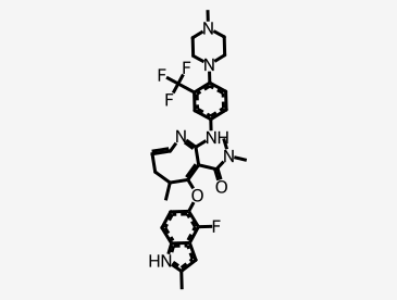 Cc1cc2c(F)c(O/C3=C(C(=O)N(C)C)/C(Nc4ccc(N5CCN(C)CC5)c(C(F)(F)F)c4)=N\C=C\CC3C)ccc2[nH]1